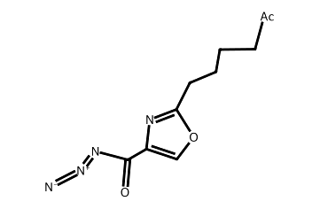 CC(=O)CCCCc1nc(C(=O)N=[N+]=[N-])co1